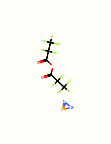 N1=PN1.O=C(OC(=O)C(F)(F)C(F)(F)F)C(F)(F)C(F)(F)F